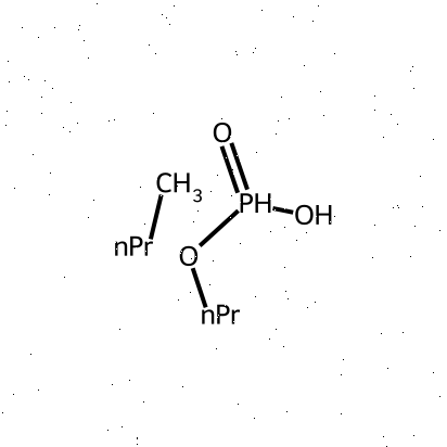 CCCC.CCCO[PH](=O)O